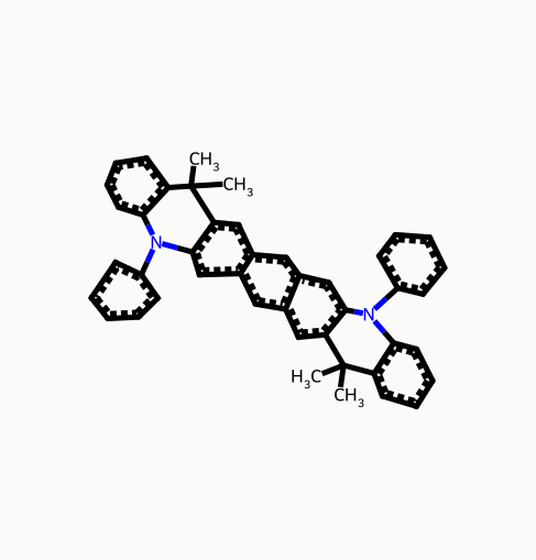 CC1(C)c2ccccc2N(c2ccccc2)c2cc3cc4cc5c(cc4cc3cc21)N(c1ccccc1)c1ccccc1C5(C)C